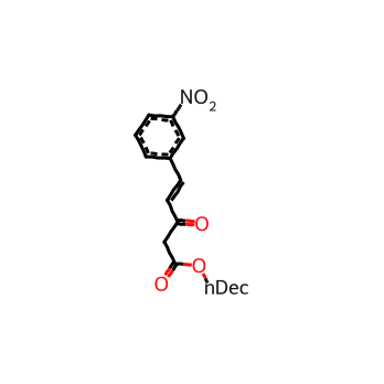 CCCCCCCCCCOC(=O)CC(=O)C=Cc1cccc([N+](=O)[O-])c1